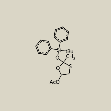 CC(=O)OC1CSC(C)(O[Si](c2ccccc2)(c2ccccc2)C(C)(C)C)O1